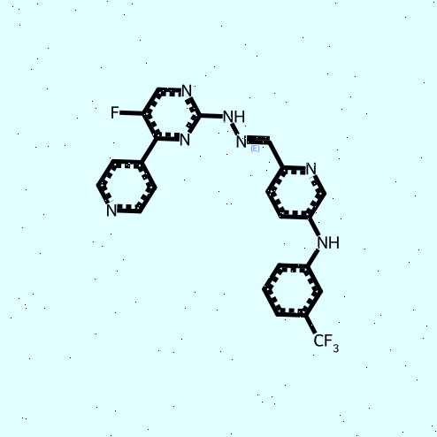 Fc1cnc(N/N=C/c2ccc(Nc3cccc(C(F)(F)F)c3)cn2)nc1-c1ccncc1